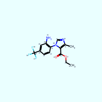 CCOC(=O)c1c(C)ncn1-c1ccc(C(F)(F)F)cc1N